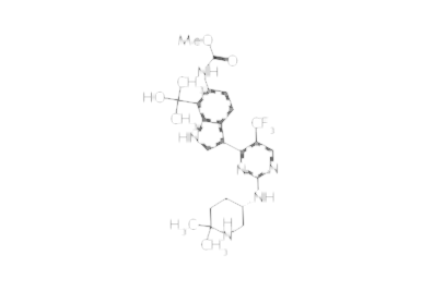 COC(=O)Nc1ccc2c(-c3nc(N[C@H]4CCC(C)(C)NC4)ncc3C(F)(F)F)c[nH]c2c1C(C)(C)O